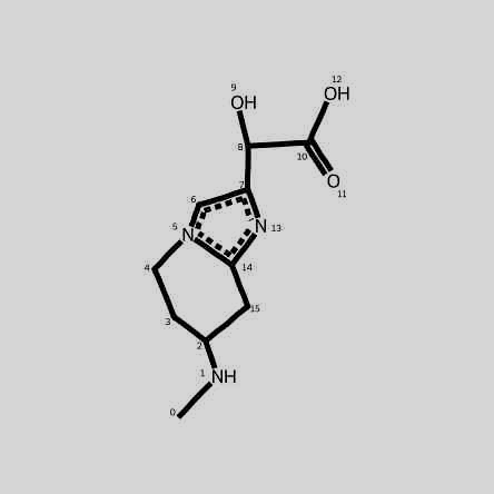 CNC1CCn2cc(C(O)C(=O)O)nc2C1